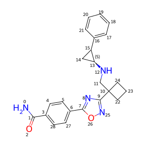 NC(=O)c1ccc(-c2nc(C3(CN[C@H]4CC4c4ccccc4)CCC3)no2)cc1